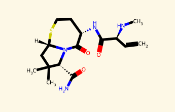 C=C[C@H](NC)C(=O)N[C@H]1CCS[C@H]2CC(C)(C)[C@@H](C(N)=O)N2C1=O